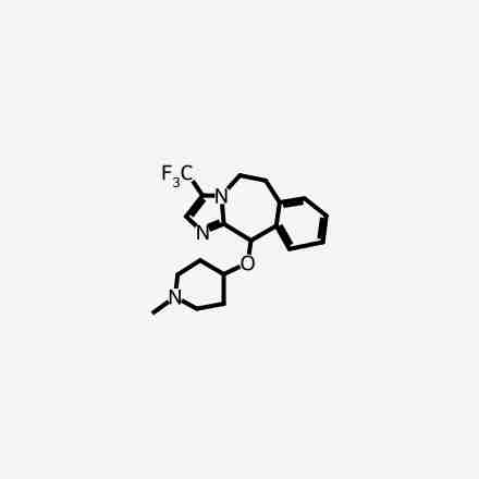 CN1CCC(OC2c3ccccc3CCn3c(C(F)(F)F)cnc32)CC1